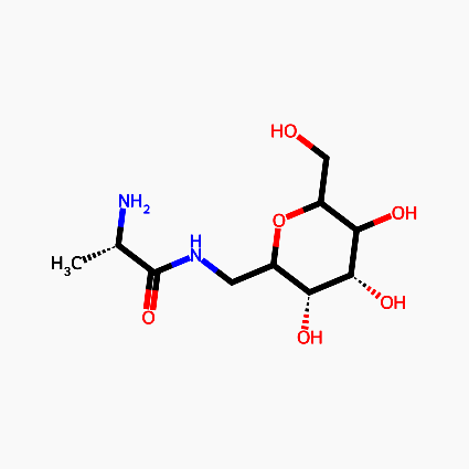 C[C@H](N)C(=O)NCC1OC(CO)C(O)[C@H](O)[C@@H]1O